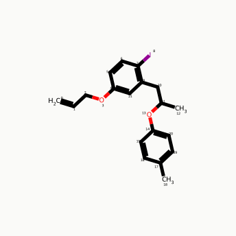 C=CCOc1ccc(I)c(CC(C)Oc2ccc(C)cc2)c1